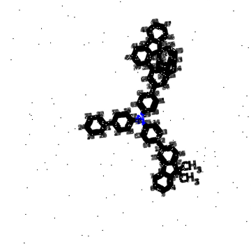 CC1(C)c2ccccc2-c2cc(-c3ccc(N(c4ccc(-c5ccccc5)cc4)c4ccc(-c5cccc(-c6cccc7c6C6(c8ccccc8-7)C7CC8CC(C7)CC6C8)c5)cc4)cc3)ccc21